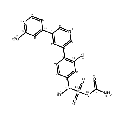 CC(C)N(c1ccc(-c2cncc(-c3ccnc(C(C)(C)C)c3)c2)c(Cl)c1)S(=O)(=O)NC(N)=O